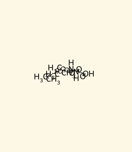 CC(C)CCCCC1CCC2C1(C)CCC1C3(C)CCC(NC(=O)CNC(=O)CCC(=O)O)CC3=CCC12C